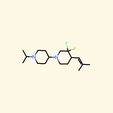 CC(C)=CC1CCN(C2CCN(C(C)C)CC2)CC1(F)F